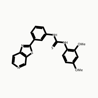 COc1ccc(NC(=S)Nc2cccc(-c3nc4ccncc4s3)c2)c(OC)c1